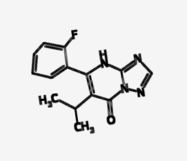 CC(C)c1c(-c2ccccc2F)[nH]c2ncnn2c1=O